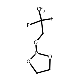 FC(F)(F)C(F)(F)COP1OCCO1